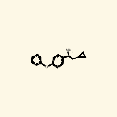 N[C@@H](CC1CC1)c1ccc(Oc2ccccc2)cc1